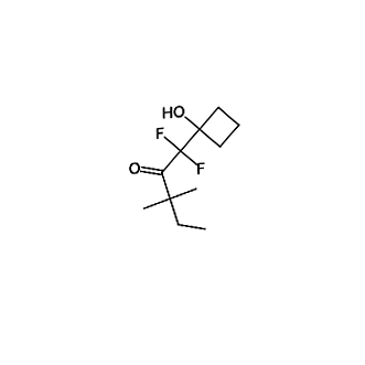 CCC(C)(C)C(=O)C(F)(F)C1(O)CCC1